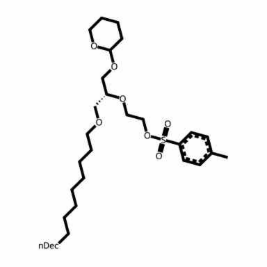 CCCCCCCCCCCCCCCCCCOC[C@H](COC1CCCCO1)OCCOS(=O)(=O)c1ccc(C)cc1